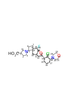 O=C(O)C1CCN(C2CCc3c2cc2cc(-c4cccc(N5CCOCC5)c4Cl)oc2c3F)C1